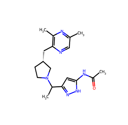 CC(=O)Nc1cc(C(C)N2CC[C@H](Cc3ncc(C)nc3C)C2)n[nH]1